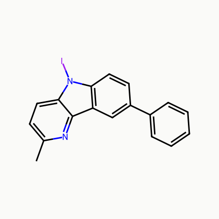 Cc1ccc2c(n1)c1cc(-c3ccccc3)ccc1n2I